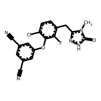 Cn1c(Cc2ccc(Cl)c(Oc3cc(C#N)cc(C#N)c3)c2F)n[nH]c1=O